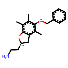 Cc1c(C)c2c(c(C)c1OCc1ccccc1)C[C@@H](CCN)O2